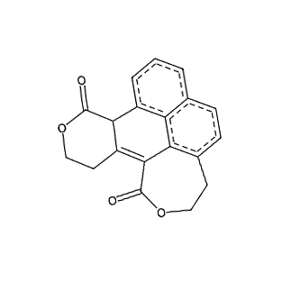 O=C1OCCc2ccc3cccc4c3c2C1=C1CCOC(=O)C14